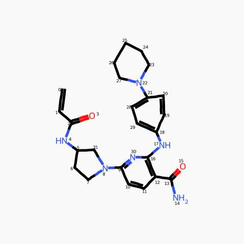 C=CC(=O)NC1CCN(c2ccc(C(N)=O)c(Nc3ccc(N4CCCCC4)cc3)n2)C1